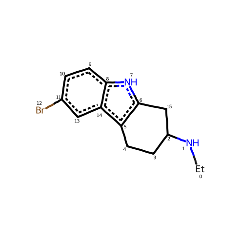 CCNC1CCc2c([nH]c3ccc(Br)cc23)C1